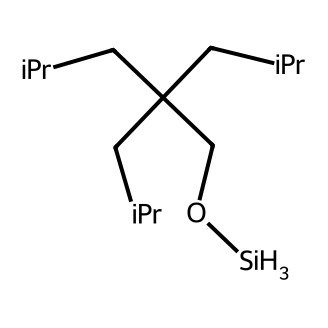 CC(C)CC(CO[SiH3])(CC(C)C)CC(C)C